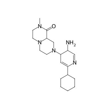 CN1CCN2CCN(C3C=C(C4CCCCC4)N=CC3N)CC2C1=O